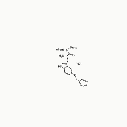 CCCCCN(CCCCC)C(=O)[C@@H](N)Cc1c[nH]c2ccc(OCc3ccccc3)cc12.Cl